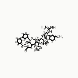 Cc1ccc(S(=O)(=O)NC(CCCNC(=N)N)C(=O)C(N)(C(=O)OC(C)(C)C)C2=CC(CC(=O)OCc3ccccc3)C(=O)N(c3ccccc3)CC2)c(C)c1